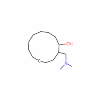 CN(C)CC1CCCCCCCCCCC1O